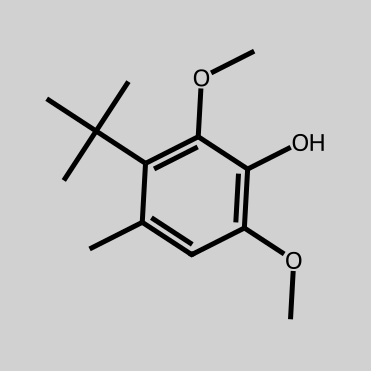 COc1cc(C)c(C(C)(C)C)c(OC)c1O